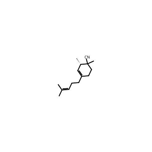 CC(C)=CCCC1=C[C@H](C)C(C)(C#N)CC1